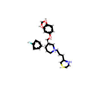 Fc1ccc([C@H]2CCN(CCCC3CSCCN3)C[C@@H]2COc2ccc3c(c2)OCO3)cc1